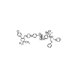 CC1(C)CCC(c2ccc(Cl)cc2)=C(CN2CCN(c3ccc(C(=O)NP(=O)(O)c4ccc(N[C@H](CCN5CCOCC5)CSc5ccccc5)c(S(=O)(=O)C(F)(F)F)c4)cc3)CC2)C1